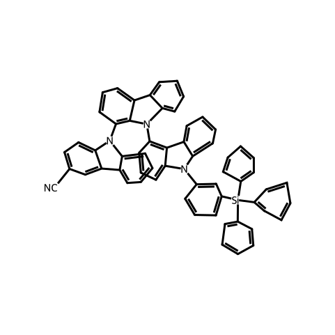 N#Cc1ccc2c(c1)c1ccccc1n2-c1cccc2c3ccccc3n(-c3cccc4c3c3ccccc3n4-c3cccc([Si](c4ccccc4)(c4ccccc4)c4ccccc4)c3)c12